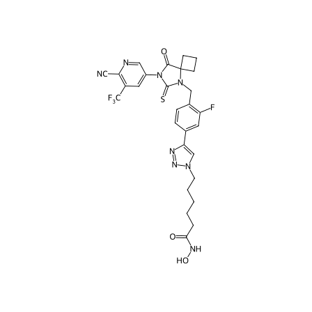 N#Cc1ncc(N2C(=O)C3(CCC3)N(Cc3ccc(-c4cn(CCCCCC(=O)NO)nn4)cc3F)C2=S)cc1C(F)(F)F